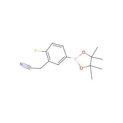 CC1(C)OB(c2ccc(F)c(CC#N)c2)OC1(C)C